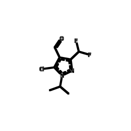 CC(C)n1nc(C(F)F)c(C=O)c1Cl